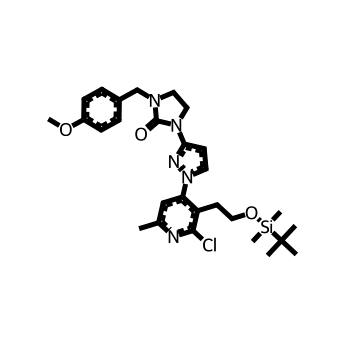 COc1ccc(CN2CCN(c3ccn(-c4cc(C)nc(Cl)c4CCO[Si](C)(C)C(C)(C)C)n3)C2=O)cc1